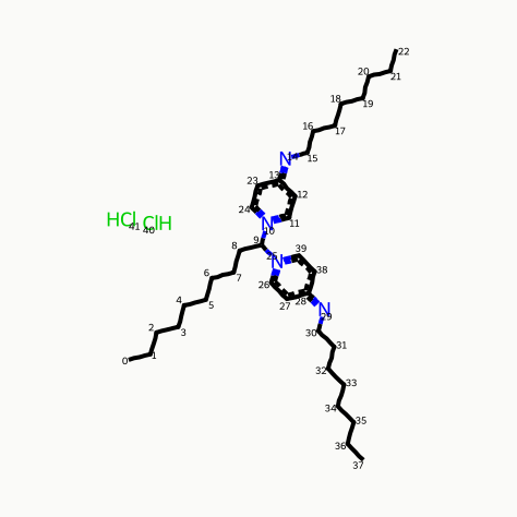 CCCCCCCCCC(n1ccc(=NCCCCCCCC)cc1)n1ccc(=NCCCCCCCC)cc1.Cl.Cl